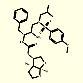 COc1ccc(S(=O)(=O)N(CC(C)C)C[C@@H](N)[C@H](Cc2ccccc2)NC(=O)O[C@H]2CO[C@H]3OCC[C@H]32)cc1